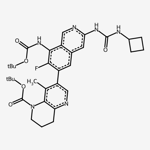 Cc1c(-c2cc3cc(NC(=O)NC4CCC4)ncc3c(NC(=O)OC(C)(C)C)c2F)cnc2c1N(C(=O)OC(C)(C)C)CCC2